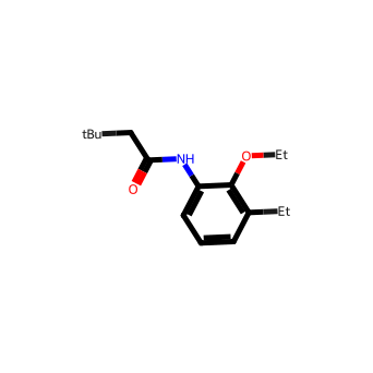 CCOc1c(CC)cccc1NC(=O)CC(C)(C)C